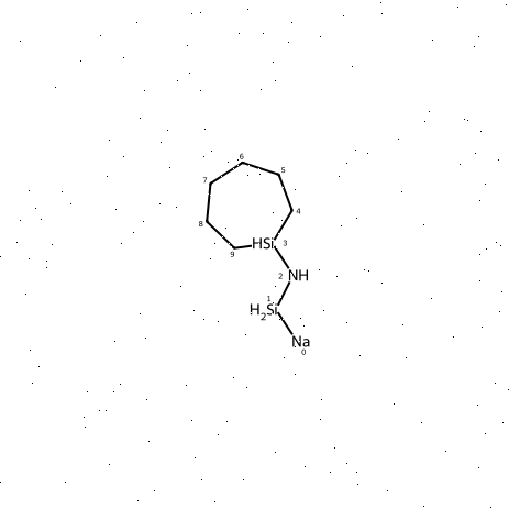 [Na][SiH2]N[SiH]1CCCCCC1